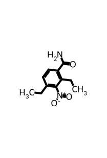 CCc1ccc(C(N)=O)c(CC)c1[N+](=O)[O-]